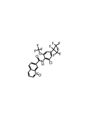 O=C(Nc1c(Cl)cc(C(F)(C(F)(F)F)C(F)(F)F)cc1OC(F)(F)F)c1ccc2ccc[n+]([O-])c2c1